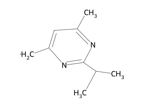 [CH2]c1cc(C)nc(C(C)C)n1